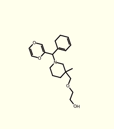 CC1(COCCO)CCCN(C(C2=CC=CCC2)C2=COC=CO2)C1